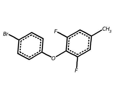 Cc1cc(F)c(Oc2ccc(Br)cc2)c(F)c1